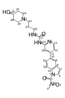 C[N+](=O)C(=O)n1ccc2cc(-c3ccnc(NC(=O)NCCCN4CCC(O)CC4)c3)ccc21